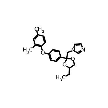 CCC1COC(Cn2ccnc2)(c2ccc(Oc3ccc(C)cc3C)cc2)O1